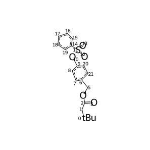 CC(C)(C)CC(=O)OCc1ccc(OS(=O)(=O)c2ccccc2)cc1